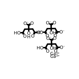 O=C([O-])CC(O)(CC(=O)O)C(=O)[O-].O=C([O-])CC(O)(CC(=O)O)C(=O)[O-].O=C([O-])CC(O)(CC(=O)O)C(=O)[O-].[Ga+3].[Ga+3]